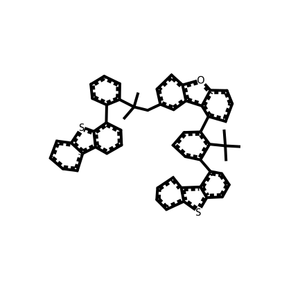 CC(C)(C)c1c(-c2cccc3oc4ccc(CC(C)(C)c5ccccc5-c5cccc6c5sc5ccccc56)cc4c23)cccc1-c1cccc2sc3ccccc3c12